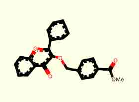 COC(=O)c1ccc(COc2c(-c3ccccc3)oc3ccccc3c2=O)cc1